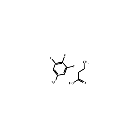 CCCC(=O)O.Cc1cc(F)c(F)c(F)c1